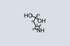 CC(O)(O)CC1CNC1